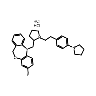 Cl.Cl.Fc1ccc2c(c1)OCc1ccccc1N2CC1CCCN1CCc1ccc(N2CCCC2)cc1